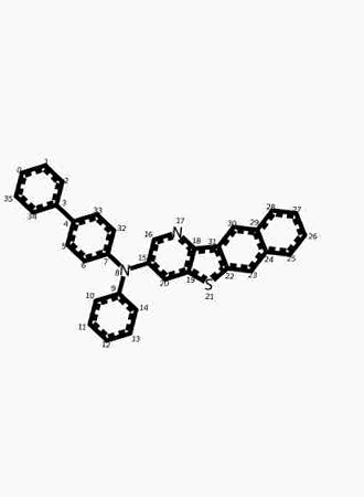 c1ccc(-c2ccc(N(c3ccccc3)c3cnc4c(c3)sc3cc5ccccc5cc34)cc2)cc1